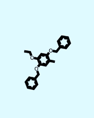 CCOc1cc(OCc2ccccc2)c(C)cc1OCc1ccccc1